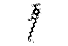 CCCCCCCCCC(Oc1ccc(C(=O)O)cc1)C(=O)O